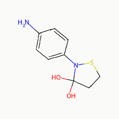 Nc1ccc(N2SCCC2(O)O)cc1